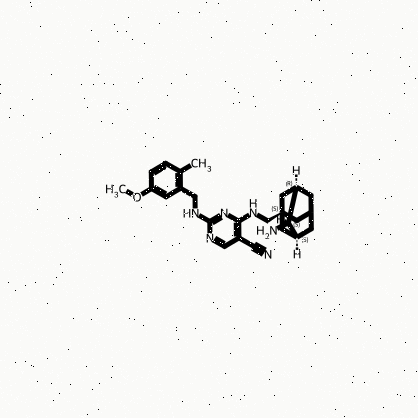 COc1ccc(C)c(CNc2ncc(C#N)c(NC[C@]34CC5C[C@H](C3)[C@@H](N)[C@@H](C5)C4)n2)c1